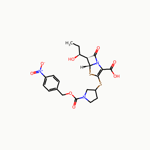 CC[C@H](O)[C@@H]1C(=O)N2C(C(=O)O)=C(SC3CCN(C(=O)OCc4ccc([N+](=O)[O-])cc4)C3)S[C@H]12